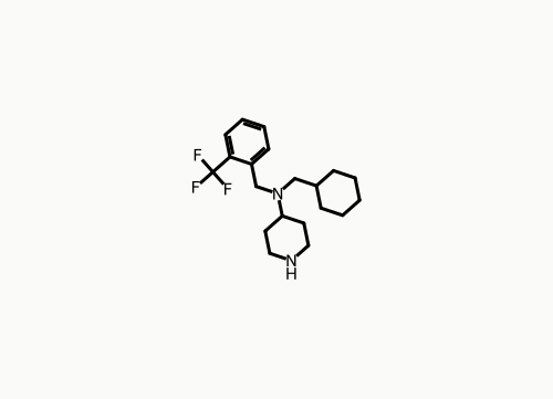 FC(F)(F)c1ccccc1CN(CC1CCCCC1)C1CCNCC1